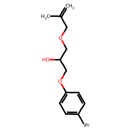 C=C(C)COCC(O)COc1ccc(C(C)C)cc1